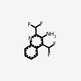 Nc1c(C(F)F)nc2ccccc2c1C(F)F